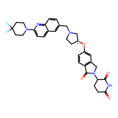 O=C1CCC(N2Cc3cc(O[C@H]4CCN(Cc5ccc6nc(N7CCC(F)(F)CC7)ccc6c5)C4)ccc3C2=O)C(=O)N1